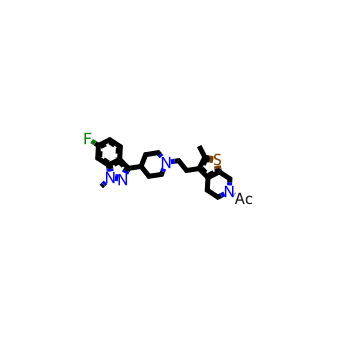 CC(=O)N1CCc2c(sc(C)c2CCN2CCC(c3nn(C)c4cc(F)ccc34)CC2)C1